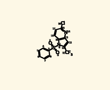 O=S(=O)(c1ccccc1)n1c(C(F)(F)F)cc2nc(Cl)ccc21